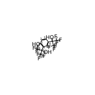 Oc1ccc(C(O)(C(F)(F)F)C(F)(F)F)cc1C(O)(C(F)(F)F)C(F)(F)F